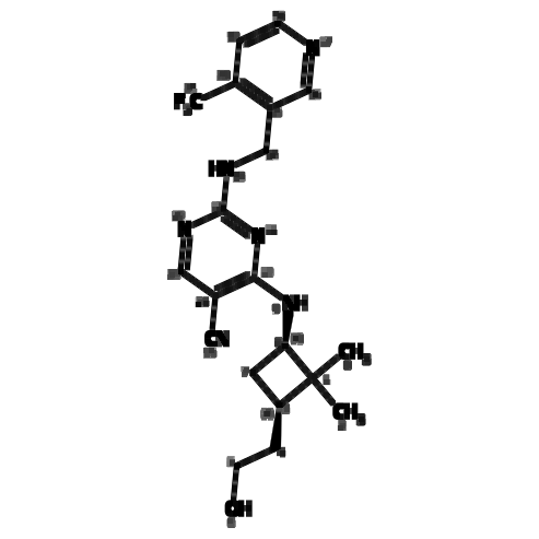 CC1(C)[C@@H](CCO)C[C@H]1Nc1nc(NCc2cnccc2C(F)(F)F)ncc1C#N